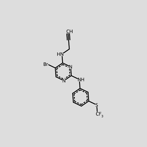 C#CCNc1nc(Nc2cccc(SC(F)(F)F)c2)ncc1Br